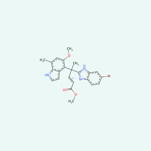 COC(=O)/C=C/C(C)(c1nc2ccc(Br)cc2[nH]1)c1c(OC)cc(C)c2[nH]ccc12